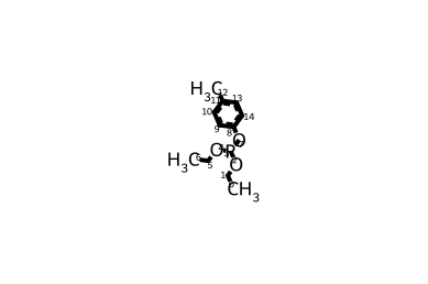 CCOP(OCC)Oc1ccc(C)cc1